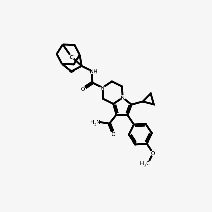 COc1ccc(-c2c(C(N)=O)c3n(c2C2CC2)CCN(C(=O)NC24CC5CC(CC2C5)C4)C3)cc1